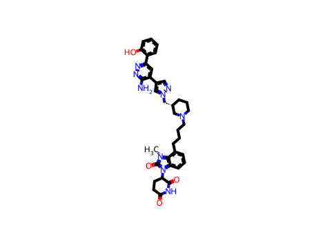 Cn1c(=O)n(C2CCC(=O)NC2=O)c2cccc(CCCCN3CCC[C@@H](Cn4cc(-c5cc(-c6ccccc6O)nnc5N)cn4)C3)c21